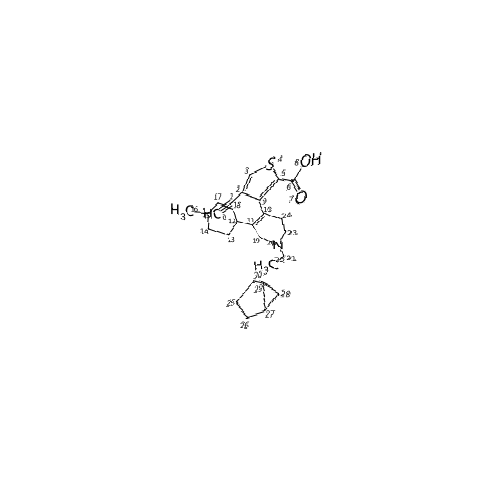 C#Cc1csc(C(=O)O)c1C1=C(C2CCC(C)CC2)CN(CC)CC1.C1CC2CC2C1